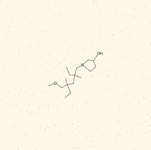 CCC(C)(COC)CC(C)(CC)CN1CCC(O)C1